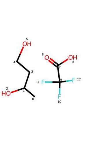 CC(O)CCO.O=C(O)C(F)(F)F